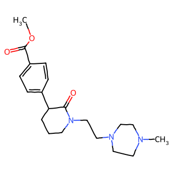 COC(=O)c1ccc(C2CCCN(CCN3CCN(C)CC3)C2=O)cc1